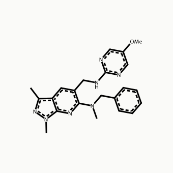 COc1cnc(NCc2cc3c(C)nn(C)c3nc2N(C)Cc2ccccc2)nc1